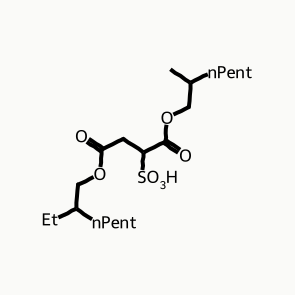 CCCCCC(C)COC(=O)C(CC(=O)OCC(CC)CCCCC)S(=O)(=O)O